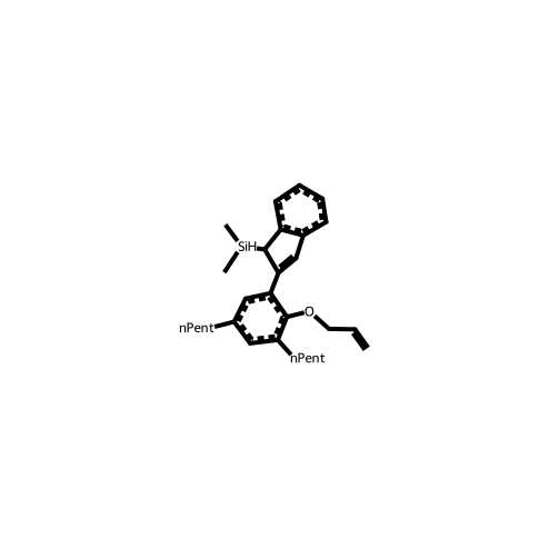 C=CCOc1c(CCCCC)cc(CCCCC)cc1C1=Cc2ccccc2C1[SiH](C)C